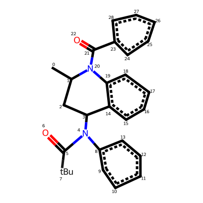 CC1CC(N(C(=O)C(C)(C)C)c2ccccc2)c2ccccc2N1C(=O)c1ccccc1